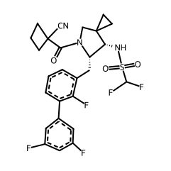 N#CC1(C(=O)N2CC3(CC3)[C@H](NS(=O)(=O)C(F)F)[C@@H]2Cc2cccc(-c3cc(F)cc(F)c3)c2F)CCC1